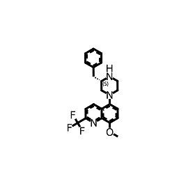 COc1ccc(N2CCN[C@@H](Cc3ccccc3)C2)c2ccc(C(F)(F)F)nc12